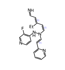 CCC(/C=C\N(/C=C/c1ccccn1)Nc1ccncc1F)=C\C=N